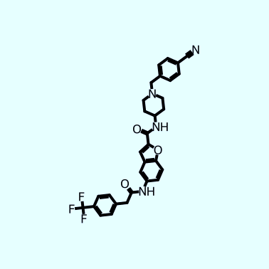 N#Cc1ccc(CN2CCC(NC(=O)c3cc4cc(NC(=O)Cc5ccc(C(F)(F)F)cc5)ccc4o3)CC2)cc1